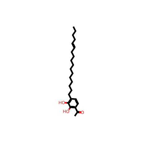 CCCCC=CCCCCCCCCCCCc1ccc(C(C)=O)c(O)c1O